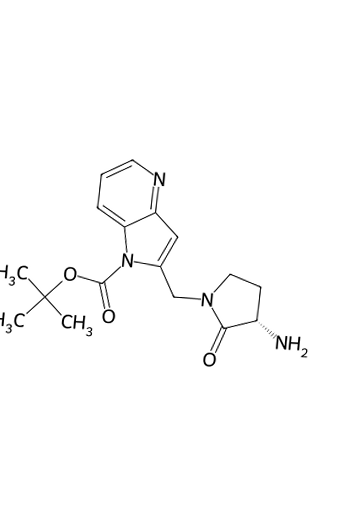 CC(C)(C)OC(=O)n1c(CN2CC[C@H](N)C2=O)cc2ncccc21